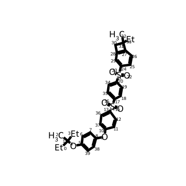 CCC(C)(CC)Oc1ccc(Oc2ccc(S(=O)(=O)c3ccc(S(=O)(=O)c4ccc5c(c4)CC5(C)CC)cc3)cc2)cc1